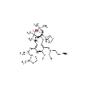 C[C@H](Oc1nc2c(F)c(Br)c(CCC#N)cc2c(N(C(=O)OC(C)(C)C)C2C3CC2N(C(=O)OC(C)(C)C)C3)c1N)[C@@H]1CCCN1C